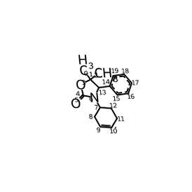 CC1(C)OC(=O)N(C2CC=[C]CC2)C1c1ccccc1